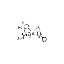 CC(C)(C)OC(=O)N[C@@H](CC(=O)N1Cc2nc(-c3ccncc3)ncc2C(C(F)(F)F)C1)CN1C(=O)CCC(F)C1O